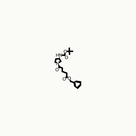 CC(C)(C)OC(=O)N[C@H]1CCN(C(=O)CCCC(=O)OCc2ccccc2)C1